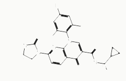 C[C@H]1CN(c2ccc3c(=O)c(C(=O)N[C@@H](C4CC4)C(F)(F)F)cn(-c4c(F)cc(F)cc4F)c3n2)C(=O)N1